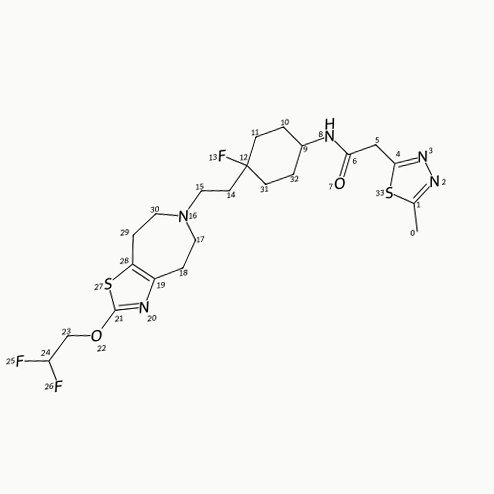 Cc1nnc(CC(=O)NC2CCC(F)(CCN3CCc4nc(OCC(F)F)sc4CC3)CC2)s1